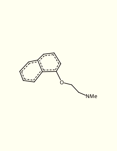 CNCCOc1cccc2ccccc12